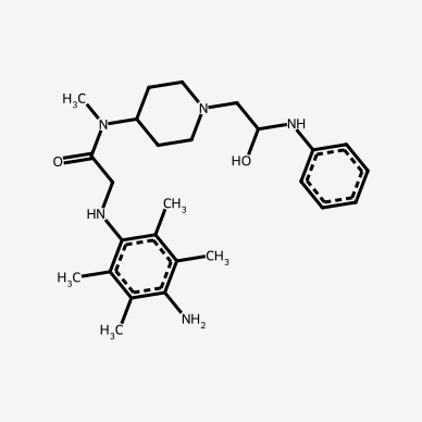 Cc1c(C)c(NCC(=O)N(C)C2CCN(CC(O)Nc3ccccc3)CC2)c(C)c(C)c1N